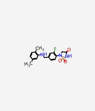 Cc1ccc(C)c(NCc2ccc(N3CC(=O)NS3(=O)=O)c(F)c2)c1